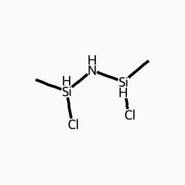 C[SiH](Cl)N[SiH](C)Cl